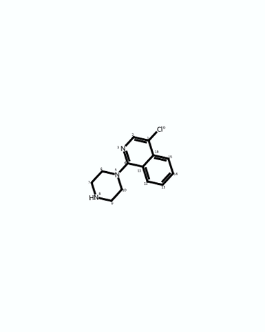 Clc1cnc(N2CCNCC2)c2ccccc12